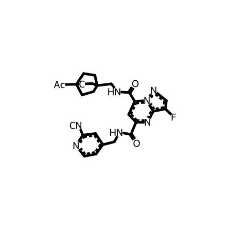 [C-]#[N+]c1cc(CNC(=O)c2cc(C(=O)NCC34CCC(C(C)=O)(CC3)CC4)n3ncc(F)c3n2)ccn1